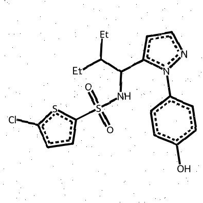 CCC(CC)C(NS(=O)(=O)c1ccc(Cl)s1)c1ccnn1-c1ccc(O)cc1